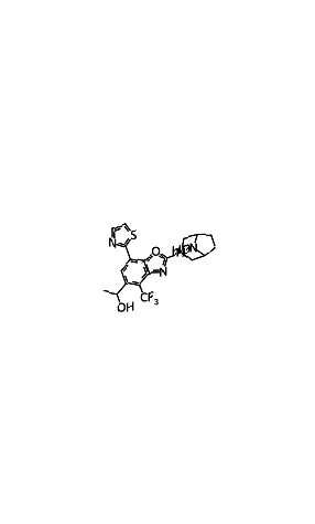 CC(O)c1cc(-c2nccs2)c2oc(N3CC4CCC(C3)N4O)nc2c1C(F)(F)F